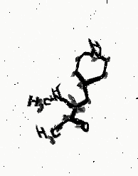 CN[C@@H](CC1CCNCC1)C(C)=O